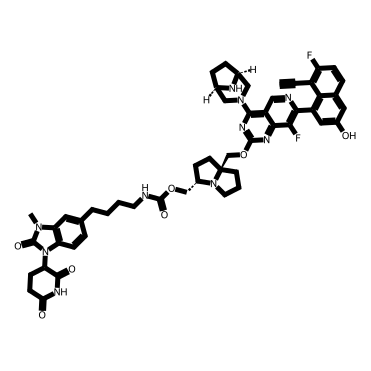 C#Cc1c(F)ccc2cc(O)cc(-c3ncc4c(N5C[C@H]6CC[C@@H](C5)N6)nc(OC[C@@]56CCCN5[C@H](COC(=O)NCCCCc5ccc7c(c5)n(C)c(=O)n7C5CCC(=O)NC5=O)CC6)nc4c3F)c12